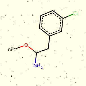 CCCOC(N)Cc1cccc(Cl)c1